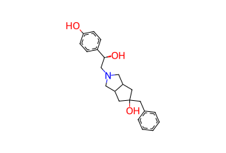 Oc1ccc([C@@H](O)CN2CC3CC(O)(Cc4ccccc4)CC3C2)cc1